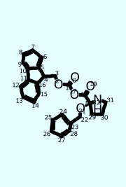 O=C(OCC1c2ccccc2-c2ccccc21)OC(=O)[C@@]1(OCc2ccccc2)CCCN1